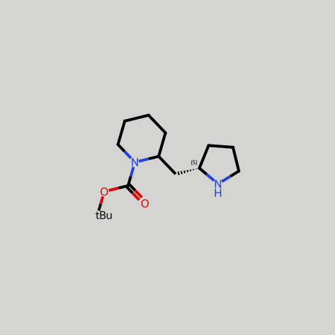 CC(C)(C)OC(=O)N1CCCCC1C[C@@H]1CCCN1